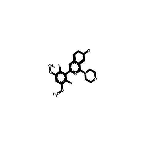 COc1cc(OC)c(F)c(-c2cc3c(c(N4CCOCC4)n2)=CC(Cl)CC=3)c1F